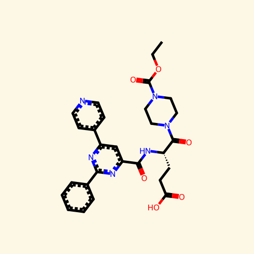 CCOC(=O)N1CCN(C(=O)[C@H](CCC(=O)O)NC(=O)c2cc(-c3ccncc3)nc(-c3ccccc3)n2)CC1